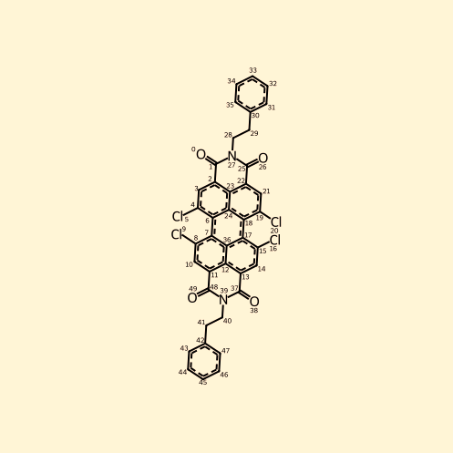 O=C1c2cc(Cl)c3c4c(Cl)cc5c6c(cc(Cl)c(c7c(Cl)cc(c2c37)C(=O)N1CCc1ccccc1)c64)C(=O)N(CCc1ccccc1)C5=O